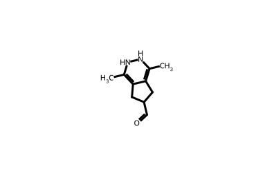 CC1=C2CC(C=O)CC2=C(C)NN1